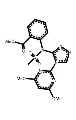 COC(=O)c1ccccc1N(c1nncn1-c1nc(OC)cc(OC)n1)S(C)(=O)=O